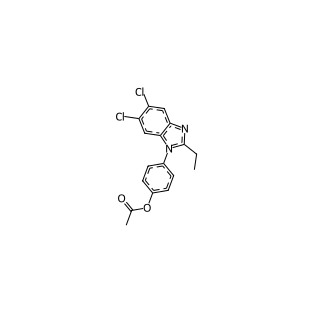 CCc1nc2cc(Cl)c(Cl)cc2n1-c1ccc(OC(C)=O)cc1